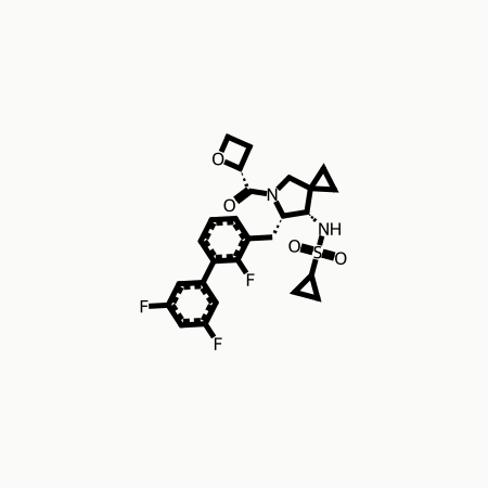 O=C([C@H]1CCO1)N1CC2(CC2)[C@H](NS(=O)(=O)C2CC2)[C@@H]1Cc1cccc(-c2cc(F)cc(F)c2)c1F